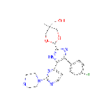 CN1CCN(c2nccc(-c3[nH]c(C4OCC(C)(CO)CO4)nc3-c3ccc(F)cc3)n2)CC1